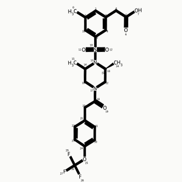 Cc1cc(CC(=O)O)cc(S(=O)(=O)N2C(C)CN(C(=O)Cc3ccc(OC(F)(F)F)cc3)C[C@@H]2C)c1